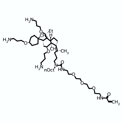 C=CC(=O)NCCOCCOCCOCCNC(=O)N(CCCCCCCC)CCC[C@@H](C)[C@H]1CC[C@H]2C([C@@H](CC)OCCCN)[C@@H]([C@]3(C)CC[C@H](OCCCN)CC3)C[C@H](OCCCN)[C@]12C